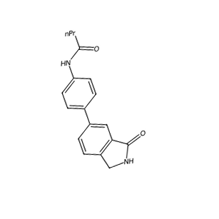 CCCC(=O)Nc1ccc(-c2ccc3c(c2)C(=O)NC3)cc1